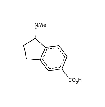 CN[C@H]1CCc2cc(C(=O)O)ccc21